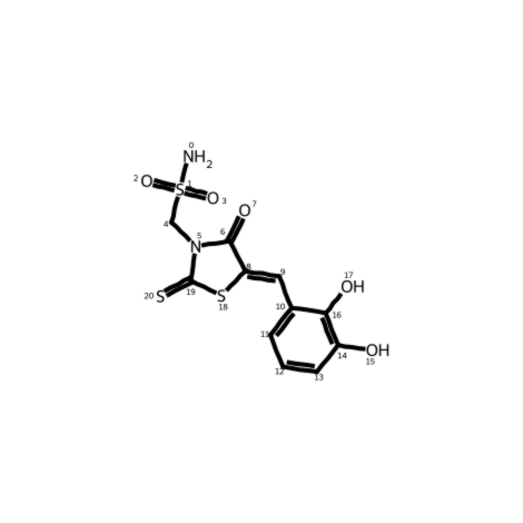 NS(=O)(=O)CN1C(=O)/C(=C/c2cccc(O)c2O)SC1=S